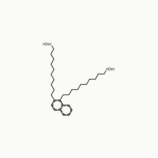 CCCCCCCCCCCCCCCCCCCCc1ccc2ccccc2c1CCCCCCCCCCCCCCCCCCCC